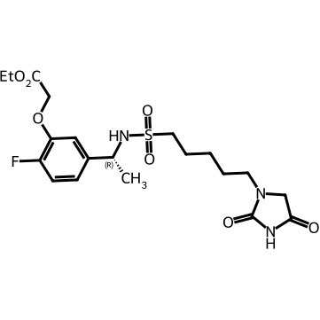 CCOC(=O)COc1cc([C@@H](C)NS(=O)(=O)CCCCCN2CC(=O)NC2=O)ccc1F